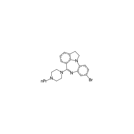 CCCN1CCN(C2=Nc3cc(Br)ccc3N3CCc4cccc2c43)CC1